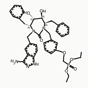 CCOP(=O)(COc1cccc(CN2C(=O)N(Cc3ccc4[nH]nc(N)c4c3)[C@H](Cc3ccccc3)[C@H](O)[C@@H](O)[C@H]2Cc2ccccc2)c1)OCC